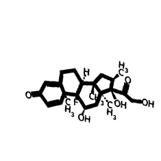 C[C@@H]1C[C@@]2(C)[C@@H]3CCC4=CC(=O)C=C[C@]4(C)[C@@]3(F)[C@@H](O)C[C@]2(C)[C@@]1(O)C(=O)CO